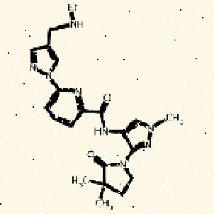 CCNCc1cnn(-c2cccc(C(=O)Nc3cn(C)nc3N3CCC(C)(C)C3=O)n2)c1